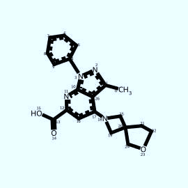 Cc1nn(-c2ccccc2)c2nc(C(=O)O)cc(N3CC4(CCOC4)C3)c12